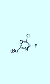 CC(C)(C)c1nc(F)c(Cl)o1